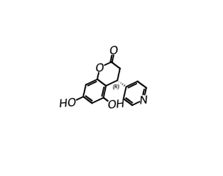 O=C1C[C@H](c2ccncc2)c2c(O)cc(O)cc2O1